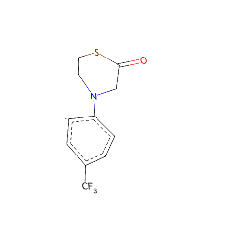 O=C1CN(c2[c]cc(C(F)(F)F)cc2)CCS1